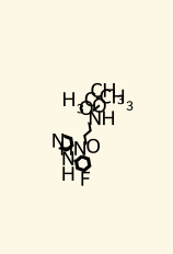 CC(C)(C)OC(=O)NCCCC(=O)Nc1ccc(F)cc1Nc1cccnc1